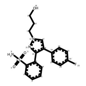 NS(=O)(=O)c1ccccc1-c1nn(CCCO)cc1-c1ccc(F)cc1